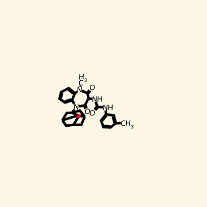 Cc1cccc(NC(=O)NC2C(=O)N(C)c3ccccc3N(C34CC5CC(CC(C5)C3)C4)C2=O)c1